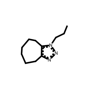 CCCn1nnc2c1CCCCCC2